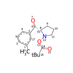 Cc1cccc(C(=O)[C@@H]2CCCN2OC(=O)C(C)(C)C)c1